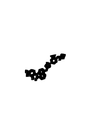 CC1(CN2CC[C@H](n3cc(Cc4ccc5c6c(cccc46)C(=O)N5C4CCC(=O)NC4=O)cn3)CC23CC3)CCC1